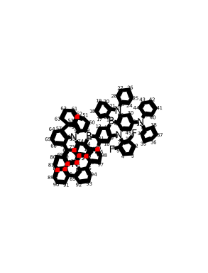 Fc1cccc(F)c1N1c2cc3c(cc2B2c4ccccc4N(c4ccccc4)c4cc(N(c5ccccc5)c5ccccc5)cc1c42)B1c2ccccc2N(c2c(-c4ccccc4)cccc2-c2ccccc2)c2cc(N(c4ccccc4)c4c(-c5ccccc5)cccc4-c4ccccc4)cc(c21)S3